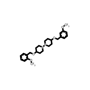 FC(F)(F)Oc1cccc(COC2CCN(N3CCC(OCc4ccccc4OC(F)(F)F)CC3)CC2)c1